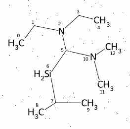 CCN(CC)C([SiH2]C(C)C)N(C)C